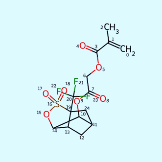 C=C(C)C(=O)OCC(=O)OC1C2CC3C1OS(=O)(=O)C3(C(F)(F)F)C2